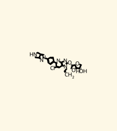 C=CCn1c(O[C@@H]2CO[C@H]3C2OC[C@H]3O)nc2nc(-c3ccc(-n4cc5c(n4)CNC5)cc3)c(Cl)cc21